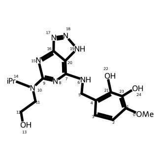 COc1ccc(CNc2nc(N(CCO)C(C)C)nc3nn[nH]c23)c(O)c1O